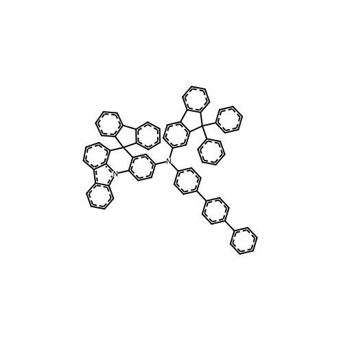 c1ccc(-c2ccc(-c3ccc(N(c4ccc5c(c4)C(c4ccccc4)(c4ccccc4)c4ccccc4-5)c4ccc5c(c4)C4(c6ccccc6-c6ccccc64)c4cccc6c7ccccc7n-5c46)cc3)cc2)cc1